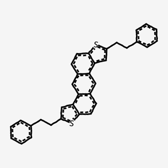 c1ccc(CCc2cc3c(ccc4cc5c(ccc6sc(CCc7ccccc7)cc65)cc43)s2)cc1